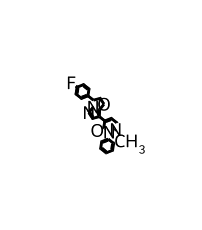 Cc1ccccc1-n1nccc(-c2cnn3c2OCC3c2ccc(F)cc2)c1=O